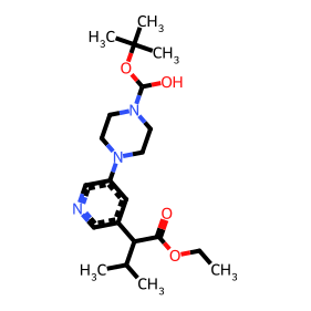 CCOC(=O)C(c1cncc(N2CCN(C(O)OC(C)(C)C)CC2)c1)C(C)C